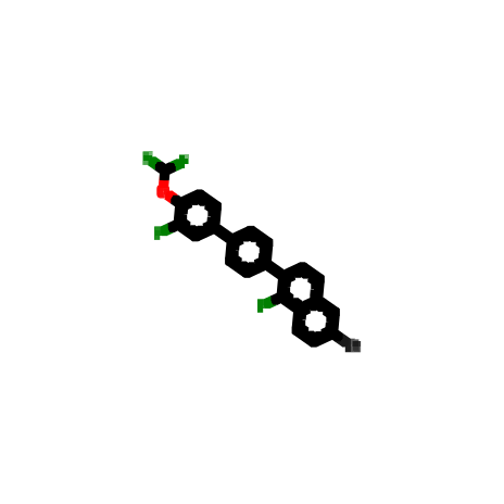 CCc1ccc2c(F)c(-c3ccc(-c4ccc(OC(F)F)c(F)c4)cc3)ccc2c1